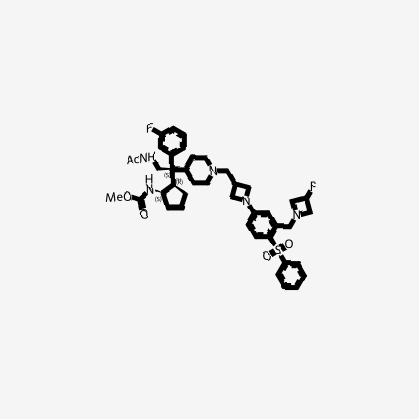 COC(=O)N[C@H]1CCC[C@@H]1[C@](CNC(C)=O)(c1cccc(F)c1)C1CCN(CC2CN(c3ccc(S(=O)(=O)c4ccccc4)c(CN4CC(F)C4)c3)C2)CC1